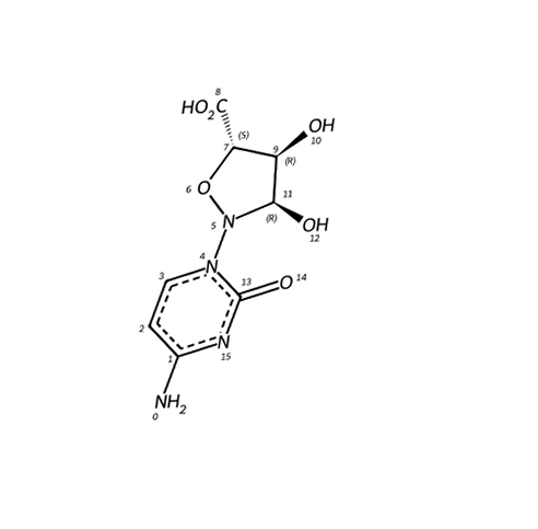 Nc1ccn(N2O[C@H](C(=O)O)[C@@H](O)[C@H]2O)c(=O)n1